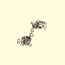 CC(C)[C@H](NSC(C)(C)C)c1ncc(-c2ccc(-c3ccc(-c4cnc([C@@H](NSC(C)(C)C)C(C)C)[nH]4)cc3)cc2)[nH]1